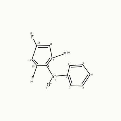 [O-][S+](c1ccccc1)c1c(F)cc(F)cc1F